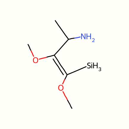 COC([SiH3])=C(OC)C(C)N